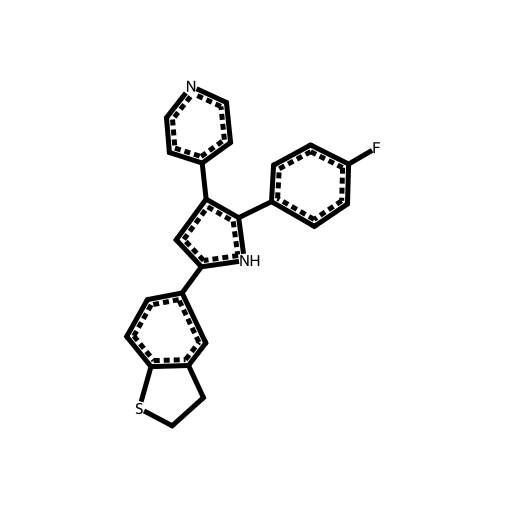 Fc1ccc(-c2[nH]c(-c3ccc4c(c3)CCS4)cc2-c2ccncc2)cc1